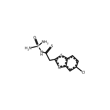 NP(N)(=O)NC(=S)Cc1nc2cc(Cl)ccc2s1